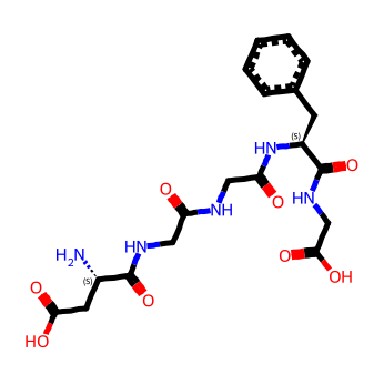 N[C@@H](CC(=O)O)C(=O)NCC(=O)NCC(=O)N[C@@H](Cc1ccccc1)C(=O)NCC(=O)O